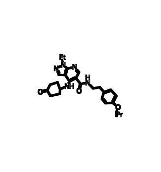 CCn1ncc2c(NC3CCC(=O)CC3)c(C(=O)NCCc3ccc(OC(C)C)cc3)cnc21